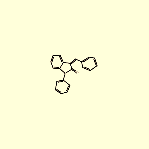 O=C1/C(=C\c2ccncc2)c2ccccc2N1c1ccccc1